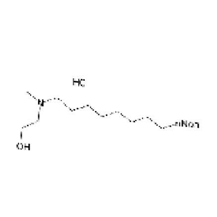 CCCCCCCCCCCCCCCCCN(C)CCO.Cl